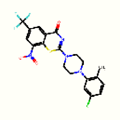 Cc1ccc(Cl)cc1N1CCN(c2nc(=O)c3cc(C(F)(F)F)cc([N+](=O)[O-])c3s2)CC1